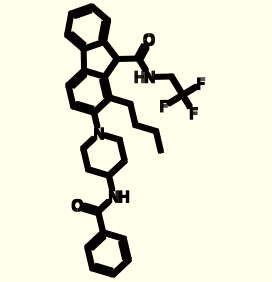 CCCCc1c(N2CCC(NC(=O)c3ccccc3)CC2)ccc2c1C(C(=O)NCC(F)(F)F)c1ccccc1-2